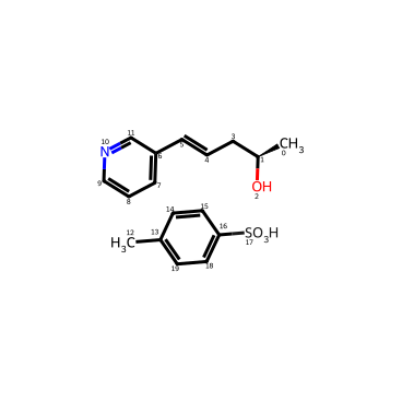 C[C@@H](O)C/C=C/c1cccnc1.Cc1ccc(S(=O)(=O)O)cc1